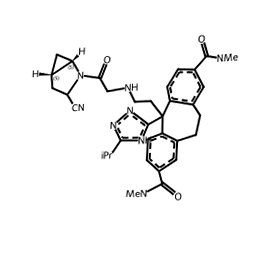 CNC(=O)c1ccc2c(c1)CCc1cc(C(=O)NC)ccc1C2(CCNCC(=O)N1C(C#N)C[C@@H]2C[C@@H]21)c1nnc(C(C)C)[nH]1